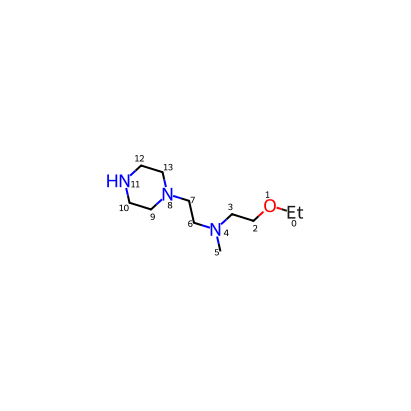 CCOCCN(C)CCN1CCNCC1